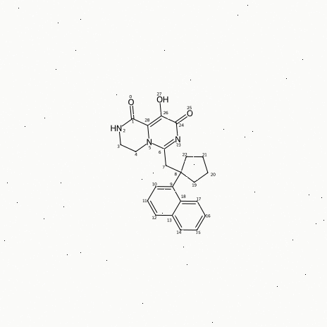 O=C1NCCn2c(CC3(c4cccc5ccccc45)CCCC3)nc(=O)c(O)c21